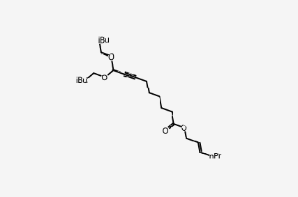 CCCC=CCOC(=O)CCCCCC#CC(OCC(C)CC)OCC(C)CC